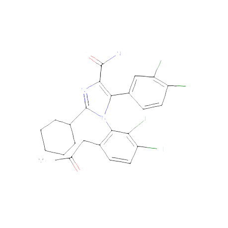 COC(=O)Cc1ccc(Cl)c(F)c1-n1c(C2CCCCC2)nc(C(N)=O)c1-c1ccc(F)c(Cl)c1